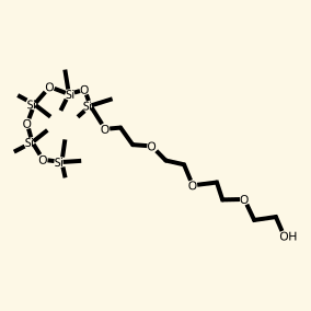 C[Si](C)(C)O[Si](C)(C)O[Si](C)(C)O[Si](C)(C)O[Si](C)(C)OCCOCCOCCOCCO